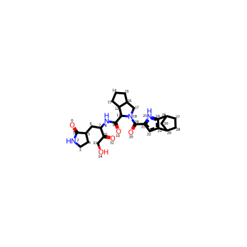 O=C1NCCC1CC(NC(=O)C1C2CCCC2CN1C(=O)c1cc2c([nH]1)C1CCC2C1)C(=O)CO